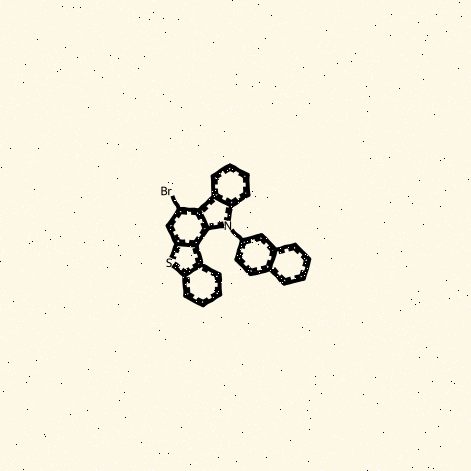 Brc1cc2sc3ccccc3c2c2c1c1ccccc1n2-c1ccc2ccccc2c1